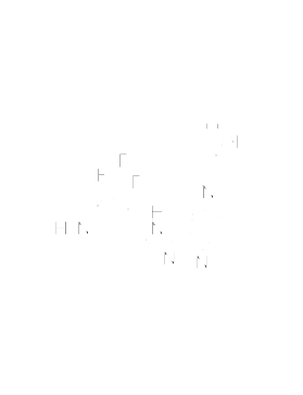 COCC1(O)CCN(c2cc3c(N[C@H](C)c4cc(N)cc(C(F)(F)F)c4)nc(C)nc3c3c2CCC3)CC1